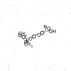 CON=C(COc1ccc(COc2ccc(C(C#N)CC(=O)O)cc2)cc1)c1ccc(OC)cc1